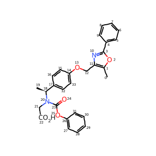 Cc1oc(-c2ccccc2)nc1COc1ccc([C@H](C)N(CC(=O)O)C(=O)Oc2ccccc2)cc1